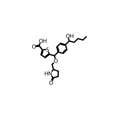 CCCCC(O)c1ccc(C(OCC2CCC(=O)N2)c2ccc(C(=O)O)s2)cc1